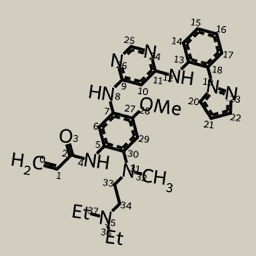 C=CC(=O)Nc1cc(Nc2cc(Nc3ccccc3-n3cccn3)ncn2)c(OC)cc1N(C)CCN(CC)CC